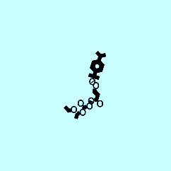 CCOC(C)OC(=O)OOC(=O)C=COOC(C)(C)c1ccc(C(C)C)cc1